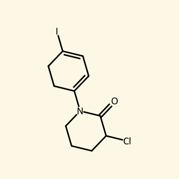 O=C1C(Cl)CCCN1C1=CC=C(I)CC1